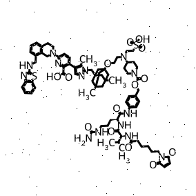 Cc1c(-c2ccc(N3CCc4cccc(CNc5nc6ccccc6s5)c4C3)nc2C(=O)O)cnn1CC12CC3(C)CC(C)(C1)CC(OCCN(CCS(=O)(=O)O)C1CCN(C(=O)OCc4ccc(NC(=O)[C@H](CCCNC(N)=O)NC(=O)[C@@H](NC(=O)CCCCCN5C(=O)C=CC5=O)C(C)C)cc4)CC1)(C3)C2